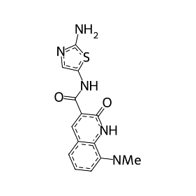 CNc1cccc2cc(C(=O)Nc3cnc(N)s3)c(=O)[nH]c12